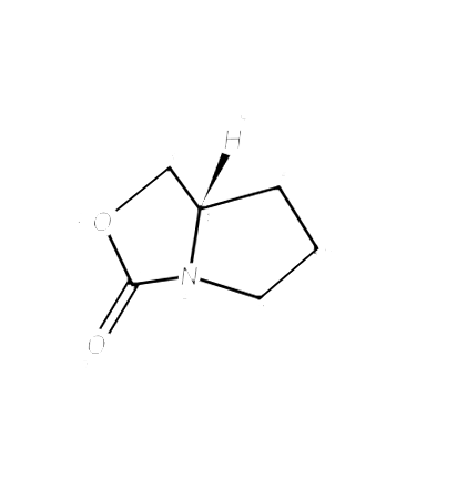 O=C1OC[C@@H]2C[CH]CN12